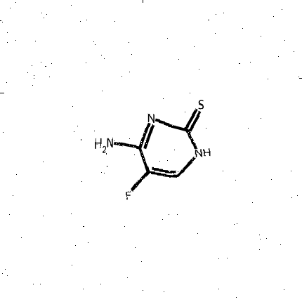 Nc1nc(=S)[nH]cc1F